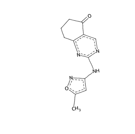 Cc1cc(Nc2ncc3c(n2)CCCC3=O)no1